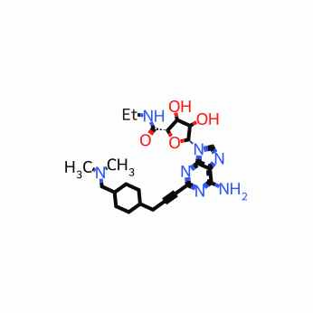 CCNC(=O)[C@H]1O[C@@H](n2cnc3c(N)nc(C#CCC4CCC(CN(C)C)CC4)nc32)C(O)C1O